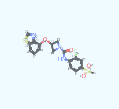 CS(=O)(=O)c1ccc(NC(=O)N2CC(Oc3cccc4scnc34)C2)c(F)c1